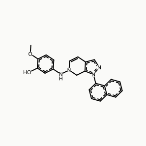 COc1ccc(NN2C=Cc3cnn(-c4cccc5ccccc45)c3C2)cc1O